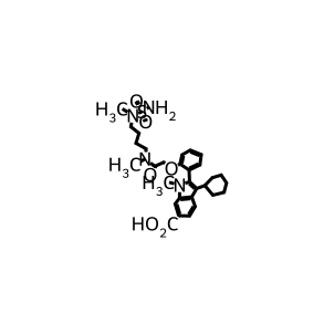 CN(CCCCN(C)S(N)(=O)=O)C(=O)COc1ccccc1-c1c(C2CCCCC2)c2ccc(C(=O)O)cc2n1C